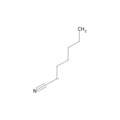 CCCCC[C]C#N